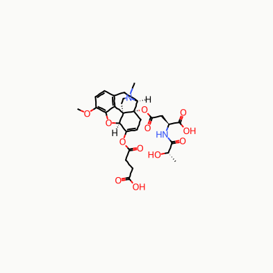 COc1ccc2c3c1O[C@@H]1C(OC(=O)CCC(=O)O)=CC[C@]4(OC(=O)C[C@H](NC(=O)[C@H](C)O)C(=O)O)[C@H](C2)N(C)CC[C@@]314